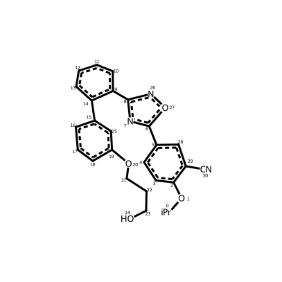 CC(C)Oc1ccc(-c2nc(-c3ccccc3-c3cccc(OCCCO)c3)no2)cc1C#N